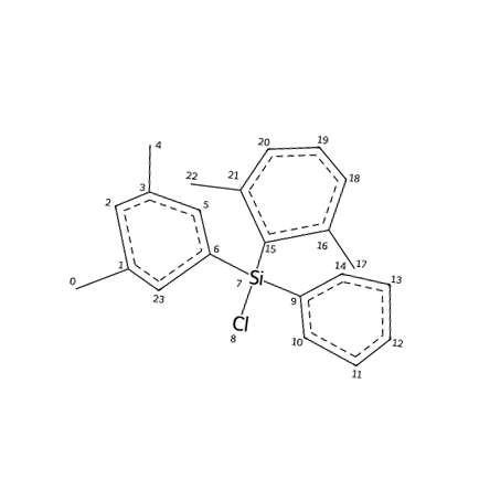 Cc1cc(C)cc([Si](Cl)(c2ccccc2)c2c(C)cccc2C)c1